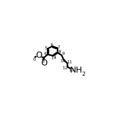 COC(=O)c1cccc(CCCCN)c1